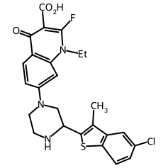 CCn1c(F)c(C(=O)O)c(=O)c2ccc(N3CCNC(c4sc5ccc(Cl)cc5c4C)C3)cc21